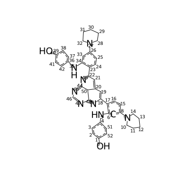 Oc1ccc(Nc2cc(N3CCCCC3)ccc2C2=CC3=CC(c4ccc(N5CCCCC5)cc4Nc4ccc(O)cc4)=NC4=NC=NC(=N2)C34)cc1